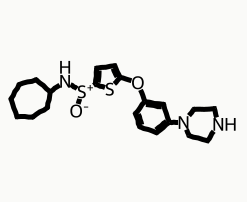 [O-][S+](NC1CCCCCC1)c1ccc(Oc2cccc(N3CCNCC3)c2)s1